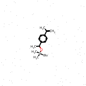 C=C(C)c1ccc(C(C)O[Si](C)(C)C(C)(C)C)cc1